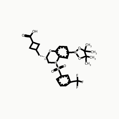 CC1(C)OB(c2ccc3c(c2)N(S(=O)(=O)c2cccc(C(F)(F)F)c2)C[C@H](CC2CC(C(=O)O)C2)O3)OC1(C)C